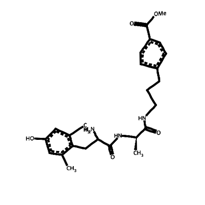 COC(=O)c1ccc(CCCNC(=O)[C@@H](C)NC(=O)C(N)Cc2c(C)cc(O)cc2C)cc1